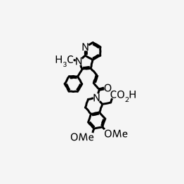 COc1cc2c(cc1OC)C(CC(=O)O)N(C(=O)/C=C/c1c(-c3ccccc3)n(C)c3ncccc13)CC2